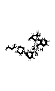 CCCC(C)N1CCN(c2cccc(S(=O)(=O)NC(=O)c3cccnc3N3CC(C)CC3(C)C)n2)CC1